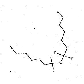 CCCCCCC(F)(F)OC(F)(F)CCCCCC